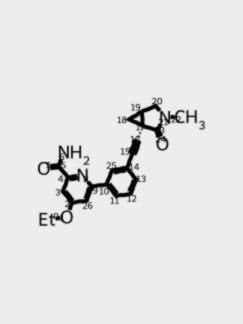 CCOc1cc(C(N)=O)nc(-c2cccc(C#C[C@]34CC3CN(C)C4=O)c2)c1